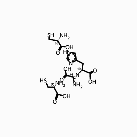 NCC(=O)O.N[C@@H](CS)C(=O)O.N[C@@H](CS)C(=O)O.N[C@@H](Cc1c[nH]cn1)C(=O)O